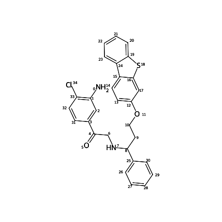 Nc1cc(C(=O)CNC(CCOc2ccc3c(c2)sc2ccccc23)c2ccccc2)ccc1Cl